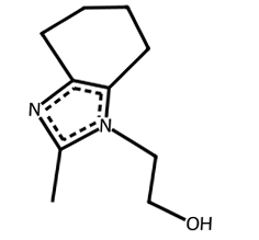 Cc1nc2c(n1CCO)CCCC2